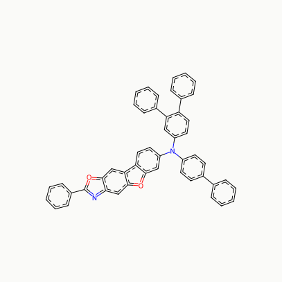 c1ccc(-c2ccc(N(c3ccc(-c4ccccc4)c(-c4ccccc4)c3)c3ccc4c(c3)oc3cc5nc(-c6ccccc6)oc5cc34)cc2)cc1